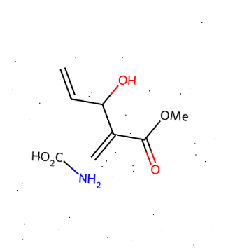 C=CC(O)C(=C)C(=O)OC.NC(=O)O